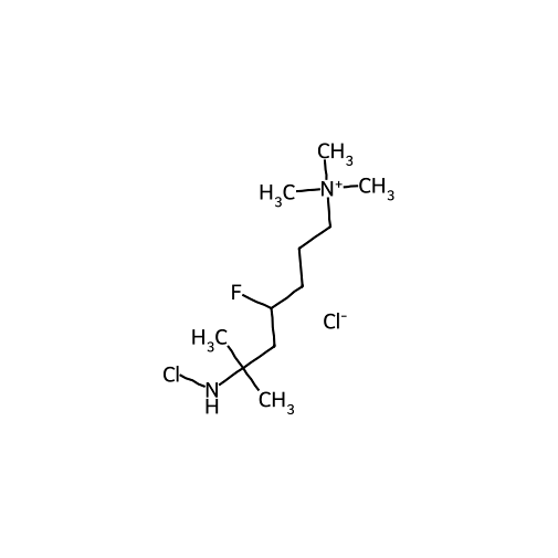 CC(C)(CC(F)CCC[N+](C)(C)C)NCl.[Cl-]